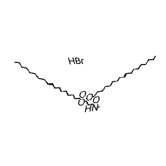 Br.CCCCCCCCC=CCCCCCCCC(=O)OC(CCNC)OC(=O)CCCCCCCC=CCCCCCCCC